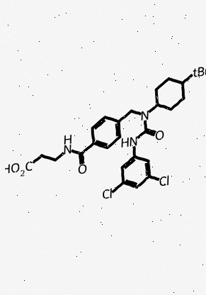 CC(C)(C)C1CCC(N(Cc2ccc(C(=O)NCCC(=O)O)cc2)C(=O)Nc2cc(Cl)cc(Cl)c2)CC1